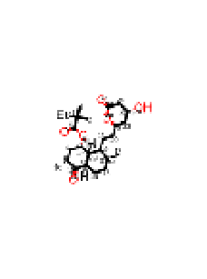 CCC(C)(C)C(=O)O[C@H]1C[C@@H](C)C(=O)[C@@H]2CC[C@H](C)[C@H](CC[C@@H]3C[C@@H](O)CC(=O)O3)[C@@H]12